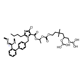 C=N/N=C(\N=C)c1ccccc1-c1ccc(Cn2c(CCCC)nc(Cl)c2C(=O)OC(C)OC(=O)OCCC(C)(C)CC(CON(O)O)ON(O)O)cc1